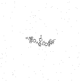 CCOC(=O)NS(=O)(=O)c1ccc(CSc2ncc(C(C)(C)c3ccc(S(N)(=O)=O)c(Cl)c3)n2-c2ccc(F)cc2)c(Cl)c1